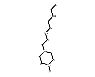 CCNCCNCCN1CCN(C)CC1